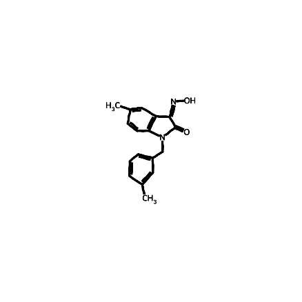 Cc1cccc(CN2C(=O)/C(=N\O)c3cc(C)ccc32)c1